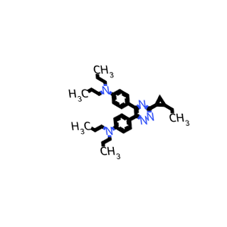 CCCN(CCC)c1ccc(-c2nnc(C3CC3CC)nc2-c2ccc(N(CCC)CCC)cc2)cc1